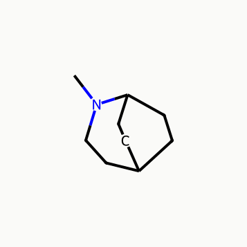 CN1CCC2CCC1CC2